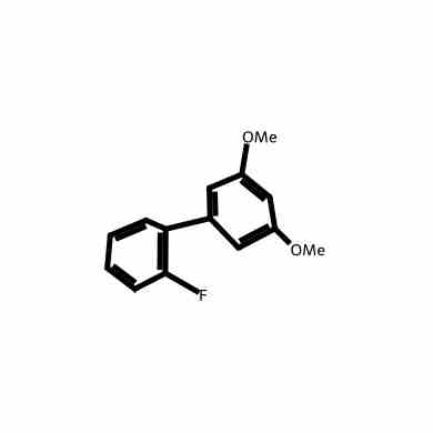 COc1cc(OC)cc(-c2ccc[c]c2F)c1